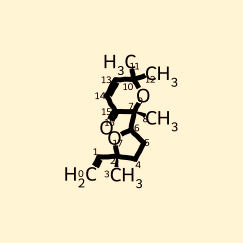 C=C[C@@]1(C)CCC([C@@]2(C)OC(C)(C)C=CC2=O)O1